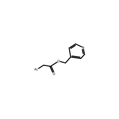 CC(=O)CC(=O)OCc1ccncc1